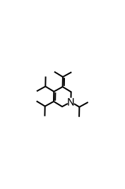 CC(C)=C1CN(C(C)C)CC(C(C)C)=C1C(C)C